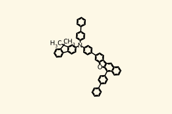 CC1(C)c2ccccc2-c2ccc(N(c3ccc(-c4ccccc4)cc3)c3ccc(-c4ccc5c(c4)oc4c(-c6ccc(-c7ccccc7)cc6)c6ccccc6cc45)cc3)cc21